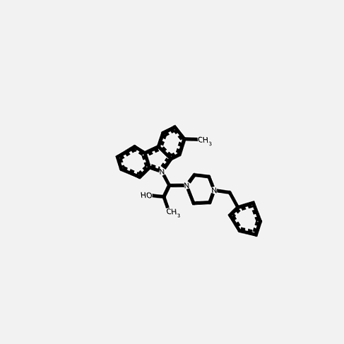 Cc1ccc2c3ccccc3n(C(C(C)O)N3CCN(Cc4ccccc4)CC3)c2c1